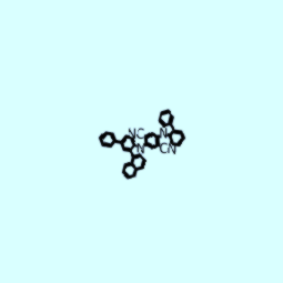 N#Cc1cc(-n2c3ccc(-c4ccccc4)cc3c3c4ccccc4ccc32)c(C#N)cc1-n1c2ccccc2c2ccccc21